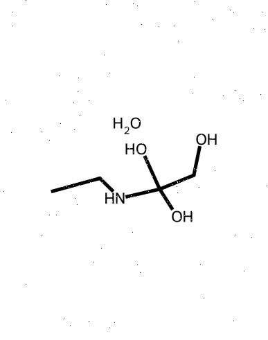 CCNC(O)(O)CO.O